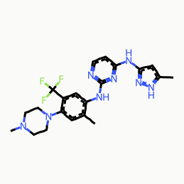 Cc1cc(Nc2ccnc(Nc3cc(C(F)(F)F)c(N4CCN(C)CC4)cc3C)n2)n[nH]1